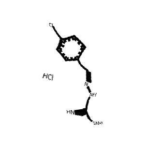 CSC(=N)NN=Cc1ccc(Cl)cc1.Cl